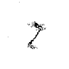 NCCCCCCCCCCCC(=O)N[C@H](CO)[C@H](O)c1ccc([N+](=O)[O-])cc1